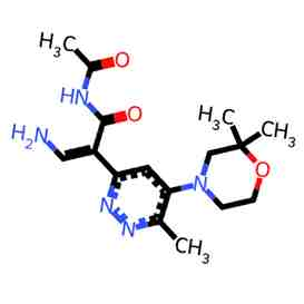 CC(=O)NC(=O)/C(=C\N)c1cc(N2CCOC(C)(C)C2)c(C)nn1